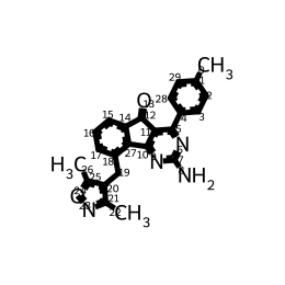 Cc1ccc(-c2nc(N)nc3c2C(=O)c2cccc(Cc4c(C)noc4C)c2-3)cc1